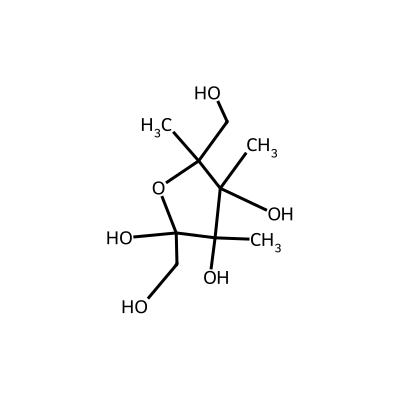 CC1(CO)OC(O)(CO)C(C)(O)C1(C)O